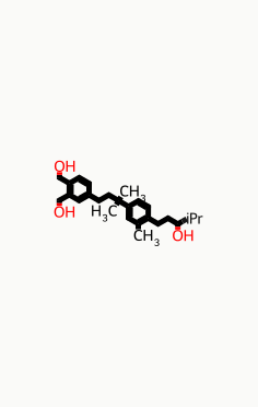 Cc1cc(C(C)(C)CCc2ccc(CO)c(CO)c2)ccc1CCC(O)C(C)C